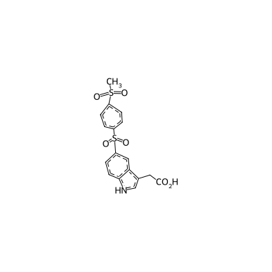 CS(=O)(=O)c1ccc(S(=O)(=O)c2ccc3[nH]cc(CC(=O)O)c3c2)cc1